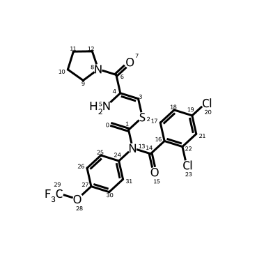 C=C(S/C=C(\N)C(=O)N1CCCC1)N(C(=O)c1ccc(Cl)cc1Cl)c1ccc(OC(F)(F)F)cc1